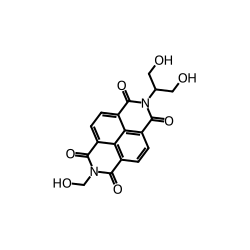 O=C1c2ccc3c4c(ccc(c24)C(=O)N1CO)C(=O)N(C(CO)CO)C3=O